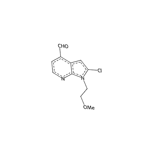 COCCn1c(Cl)cc2c(C=O)ccnc21